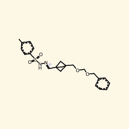 Cc1ccc(S(=O)(=O)N/N=C/C23CC(COCOCc4ccccc4)(C2)C3)cc1